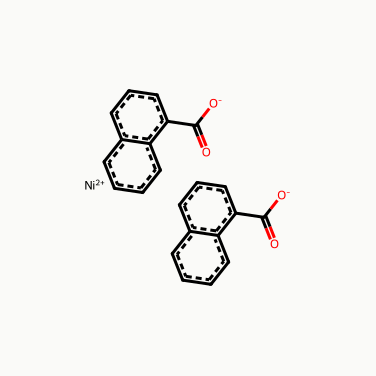 O=C([O-])c1cccc2ccccc12.O=C([O-])c1cccc2ccccc12.[Ni+2]